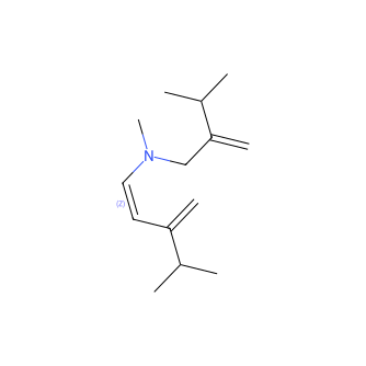 C=C(/C=C\N(C)CC(=C)C(C)C)C(C)C